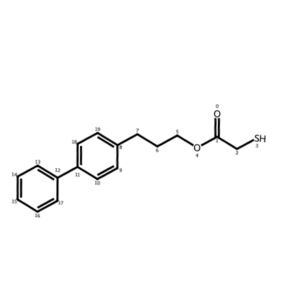 O=C(CS)OCCCc1ccc(-c2ccccc2)cc1